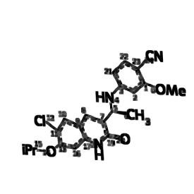 COc1cc(N[C@@H](C)c2cc3cc(Cl)c(OC(C)C)cc3[nH]c2=O)ccc1C#N